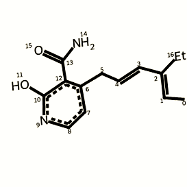 CC=C(C=CCc1ccnc(O)c1C(N)=O)CC